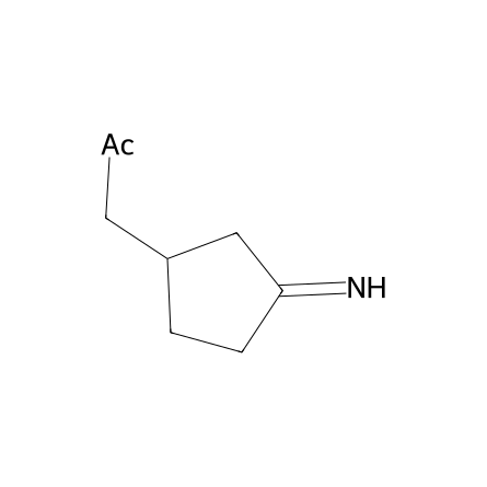 CC(=O)CC1CCC(=N)C1